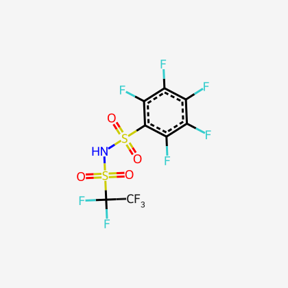 O=S(=O)(NS(=O)(=O)C(F)(F)C(F)(F)F)c1c(F)c(F)c(F)c(F)c1F